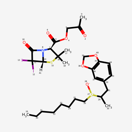 CC(=O)COC(=O)[C@@H]1N2C(=O)C(I)(I)[C@H]2SC1(C)C.CCCCCCCC[S+]([O-])C(C)Cc1ccc2c(c1)OCO2